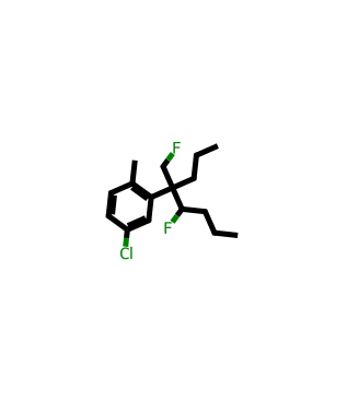 CCCC(F)C(CF)(CCC)c1cc(Cl)ccc1C